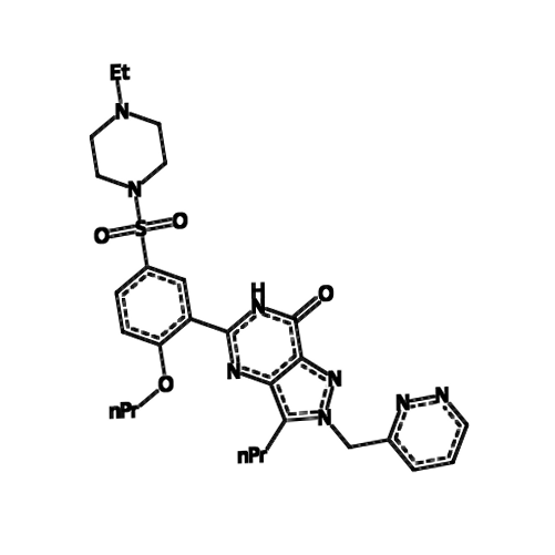 CCCOc1ccc(S(=O)(=O)N2CCN(CC)CC2)cc1-c1nc2c(CCC)n(Cc3cccnn3)nc2c(=O)[nH]1